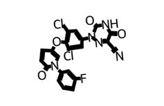 N#Cc1nn(-c2cc(Cl)c(Oc3ccc(=O)n(-c4cccc(F)c4)c3)c(Cl)c2)c(=O)[nH]c1=O